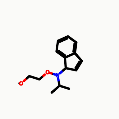 CC(C)N(OCC[O])C1C=Cc2ccccc21